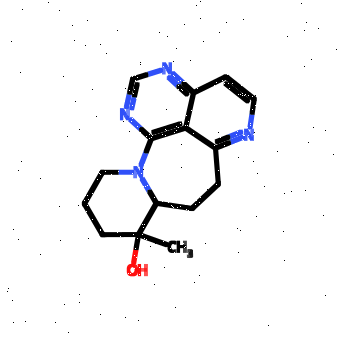 CC1(O)CCCN2c3ncnc4ccnc(c34)CCC21